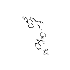 CCC(COCCC1CCN(C(=O)Nc2cccc(C(C)=O)c2)CC1)n1cnc2c(N)nc3ccccc3c21